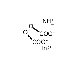 O=C([O-])[O-].O=C([O-])[O-].[In+3].[NH4+]